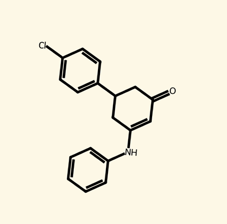 O=C1C=C(Nc2ccccc2)CC(c2ccc(Cl)cc2)C1